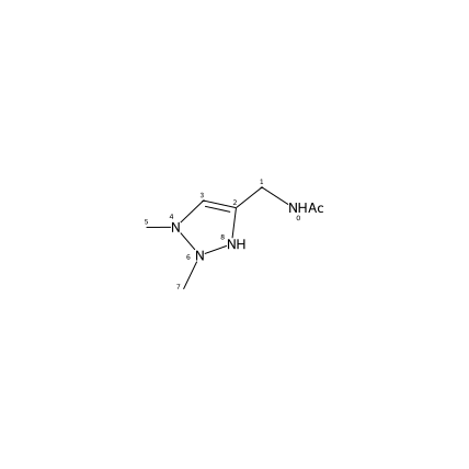 CC(=O)NCC1=CN(C)N(C)N1